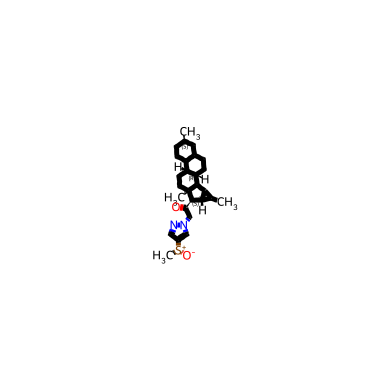 CC1C2C3[C@@H]4CCC5C[C@@H](C)CCC5[C@H]4CC[C@]3(C)[C@@H](C(=O)Cn3cc([S+](C)[O-])cn3)[C@@H]12